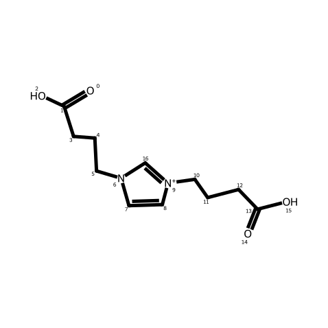 O=C(O)CCCn1cc[n+](CCCC(=O)O)c1